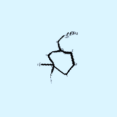 CC(C)(C)CC1CCCC(F)(F)C1